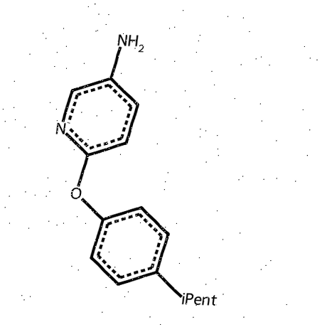 CCCC(C)c1ccc(Oc2ccc(N)cn2)cc1